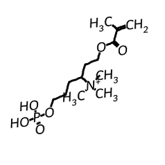 C=C(C)C(=O)OCCC(CCCOP(=O)(O)O)[N+](C)(C)C